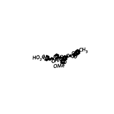 COC(=O)CC(NC(=O)[C@@H]1CCCN(C(=O)CCC2CCN(C(=O)O)CC2)C1)c1ccc(OCCOS(=O)(=O)c2ccc(C)cc2)cc1